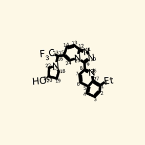 CCc1cccc2ccc(-c3nnc4ccc(C(N5CC[C@H](O)C5)C(F)(F)F)cn34)nc12